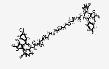 Cc1sc2c(c1C)C(c1ccc(Cl)cc1)=N[C@@H](CC(=O)NCCOCCOCCOCCOCCNC(=O)C[C@@H]1N=C(c3ccc(Cl)cc3)c3c(sc(C)c3C)-n3c(C)nnc31)c1nnc(C)n1-2